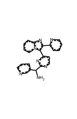 NC(c1cccnc1)c1nccc(-c2c(-c3ccccn3)nc3ccccn23)n1